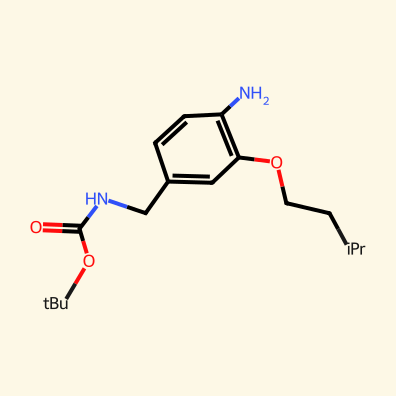 CC(C)CCOc1cc(CNC(=O)OC(C)(C)C)ccc1N